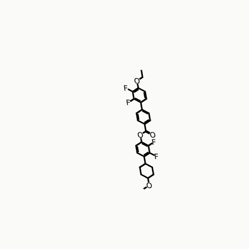 CCOc1ccc(-c2ccc(C(=O)Oc3ccc(C4CCC(OC)CC4)c(F)c3F)cc2)c(F)c1F